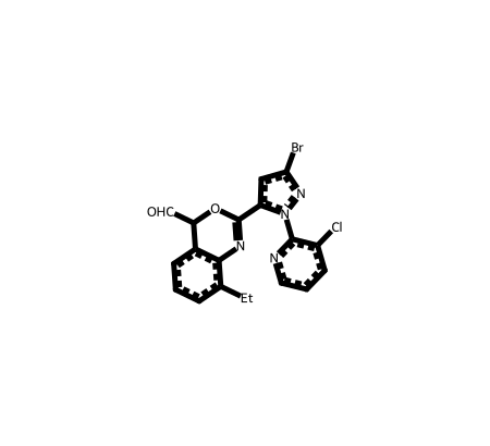 CCc1cccc2c1N=C(c1cc(Br)nn1-c1ncccc1Cl)OC2C=O